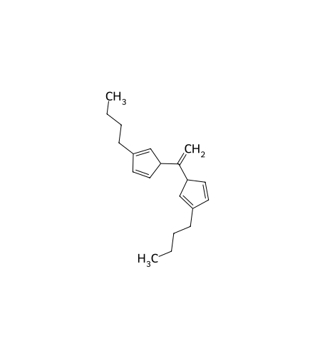 C=C(C1C=CC(CCCC)=C1)C1C=CC(CCCC)=C1